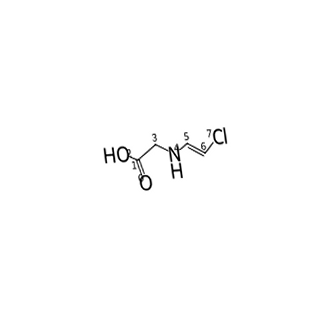 O=C(O)CNC=CCl